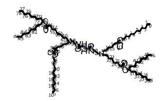 CCCCCCCCCCCOC(=O)CCCCCN(CCCCCCCC(=O)OC(CCCCCCCC)CCCCCCCC)CCNC(=O)/C=C/C(=O)NCCN(CCCCCCCC(=O)OC(CCCCCCCC)CCCCCCCC)CCCCC(C)(C)C(=O)OCCCCCCCCCCC